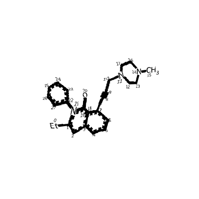 CCc1cc2cccc(C#CCN3CCN(C)CC3)c2c(=O)n1-c1ccccc1